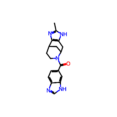 Cc1nc2c([nH]1)CC1CC2CCN1C(=O)c1ccc2nc[nH]c2c1